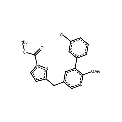 COc1ncc(Cc2ccn(C(=O)OC(C)(C)C)n2)cc1-c1cccc(Cl)c1